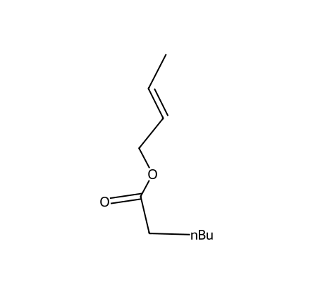 CC=CCOC(=O)CCCCC